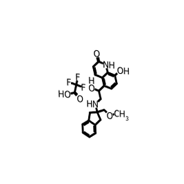 COCC1(NCC(O)c2ccc(O)c3[nH]c(=O)ccc23)Cc2ccccc2C1.O=C(O)C(F)(F)F